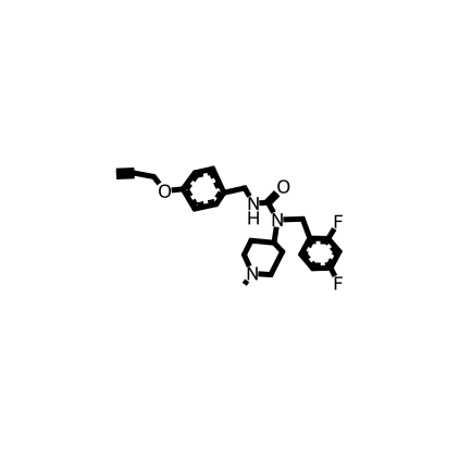 C#CCOc1ccc(CNC(=O)N(Cc2ccc(F)cc2F)C2CCN(C)CC2)cc1